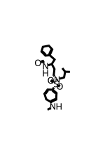 CNC1=CC=C(S(=O)(=O)N(CCC(CC2=CCCC=C2)NC=O)CC(C)C)C=CC1